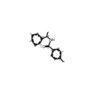 Cc1ccc(C(=O)NC(C)c2ccccc2)cc1